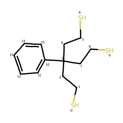 SCCC(CCS)(CCS)c1cc[c]cc1